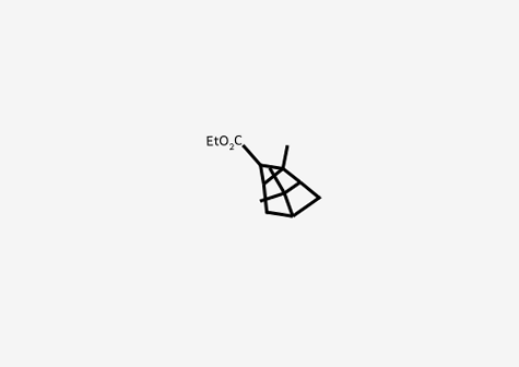 CCOC(=O)C1C2CC3CC(C3(C)C)C21C